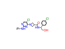 CC(C)Nc1ncc(Cl)c(N2CC(C(=O)NC(CO)c3ccc(Cl)cc3)C2)n1